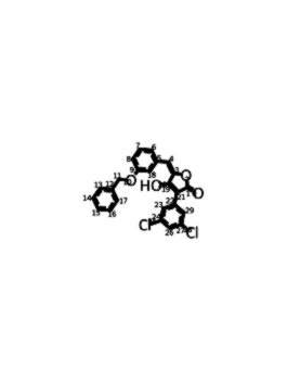 O=C1OC(=Cc2cccc(OCc3ccccc3)c2)C(O)=C1c1cc(Cl)cc(Cl)c1